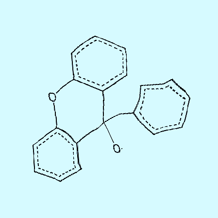 [O]C1(c2ccccc2)c2ccccc2Oc2ccccc21